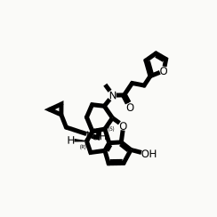 CN(C(=O)CCc1ccco1)C1CC[C@@]2(O)[C@H]3Cc4ccc(O)c5c4[C@@]2(CCN3CC2CC2)C1O5